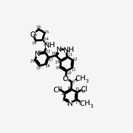 Cc1ncc(Cl)c([C@@H](C)Oc2ccc3[nH]nc(-c4cccnc4N[C@@H]4CCOC4)c3c2)c1Cl